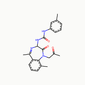 CC(=O)CN1C(=O)C(NC(=O)Nc2cccc(C)c2)N=C(C)c2cccc(C)c21